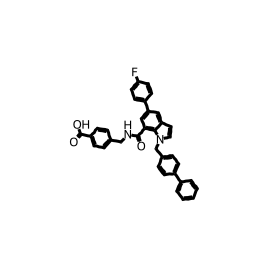 O=C(O)c1ccc(CNC(=O)c2cc(-c3ccc(F)cc3)cc3ccn(Cc4ccc(-c5ccccc5)cc4)c23)cc1